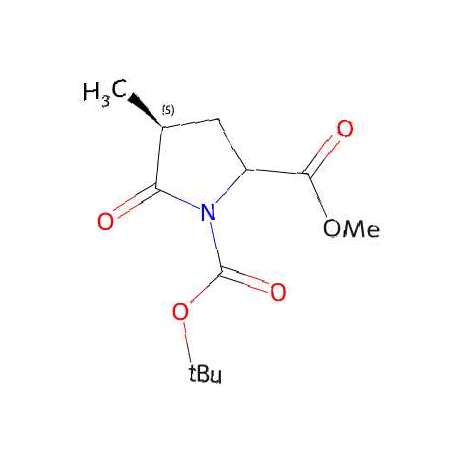 COC(=O)C1C[C@H](C)C(=O)N1C(=O)OC(C)(C)C